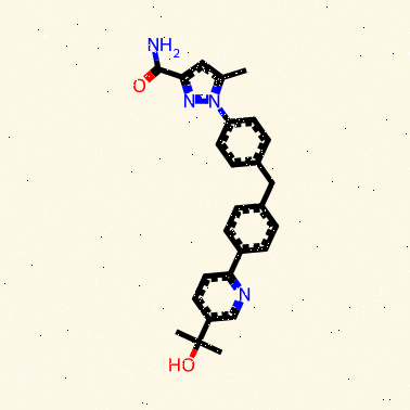 Cc1cc(C(N)=O)nn1-c1ccc(Cc2ccc(-c3ccc(C(C)(C)O)cn3)cc2)cc1